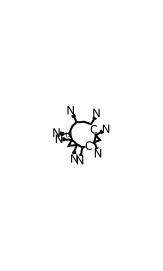 N#CC1CC(C#N)CC2(C#N)CC2(C#N)CC(C#N)C2(C#N)CC2(C#N)[C@@H](C#N)C1